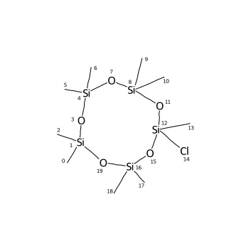 C[Si]1(C)O[Si](C)(C)O[Si](C)(C)O[Si](C)(Cl)O[Si](C)(C)O1